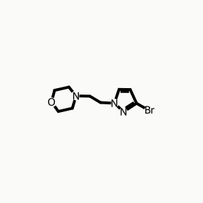 Brc1ccn(CCN2CCOCC2)n1